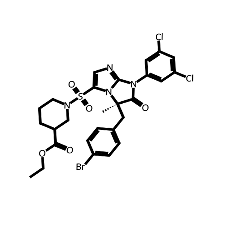 CCOC(=O)C1CCCN(S(=O)(=O)c2cnc3n2[C@](C)(Cc2ccc(Br)cc2)C(=O)N3c2cc(Cl)cc(Cl)c2)C1